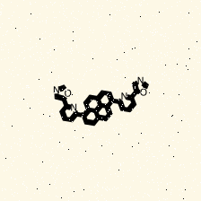 c1cc(-c2cnco2)nc(-c2ccc3ccc4c(-c5cccc(-c6cnco6)n5)ccc5ccc2c3c54)c1